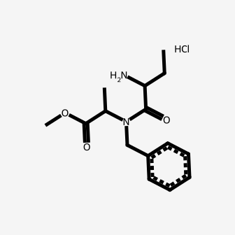 CCC(N)C(=O)N(Cc1ccccc1)C(C)C(=O)OC.Cl